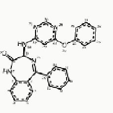 O=C1Nc2ccccc2C(c2ccccc2)=NC1Nc1cc(Oc2ccccc2)ncn1